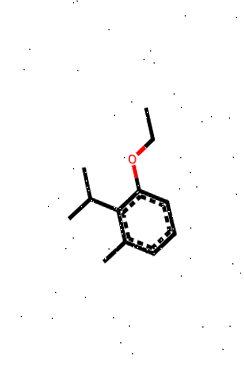 CCOc1cccc(C)c1C(C)C